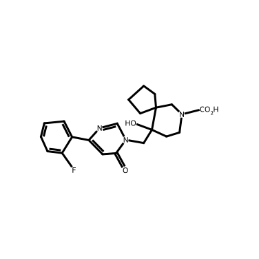 O=C(O)N1CCC(O)(Cn2cnc(-c3ccccc3F)cc2=O)C2(CCCC2)C1